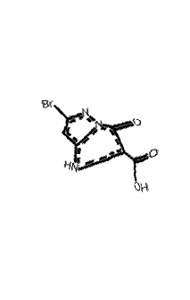 O=C(O)c1c[nH]c2cc(Br)nn2c1=O